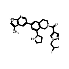 Cc1c[nH]c2ncc(-c3cc4c(c(C5CCCN5)c3)CN(C(=O)c3cnn(CC(F)F)c3)CC4)cc12